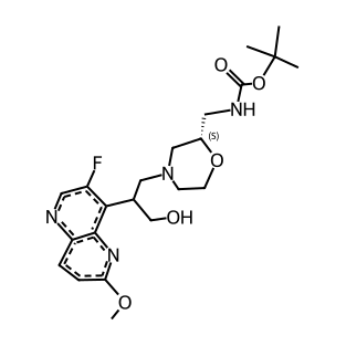 COc1ccc2ncc(F)c(C(CO)CN3CCO[C@@H](CNC(=O)OC(C)(C)C)C3)c2n1